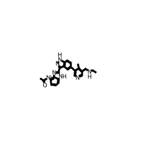 CCNCc1cncc(-c2ccc3[nH]nc(-c4nc5c(NC(C)=O)cccc5[nH]4)c3c2)c1C